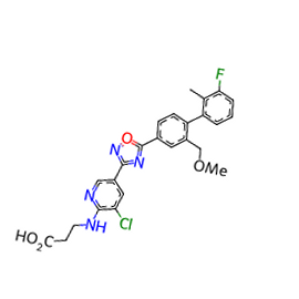 COCc1cc(-c2nc(-c3cnc(NCCC(=O)O)c(Cl)c3)no2)ccc1-c1cccc(F)c1C